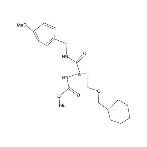 COc1ccc(CNC(=O)[C@H](CCOCC2CCCCC2)NC(=O)OC(C)(C)C)cc1